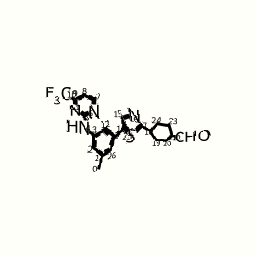 Cc1cc(Nc2nccc(C(F)(F)F)n2)cc(-c2cnc(C3CCC(C=O)CC3)s2)c1